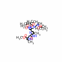 CCOC(=O)c1cc(C)[nH]c1/C=C1\C(=O)Nc2c(C)cc(-c3cn(C(=O)OC(C)(C)C)nc3CN(CCN(C)C(=O)OC(C)(C)C)C(=O)OC(C)(C)C)nc21